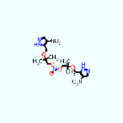 CC(C)(CO[N+](=O)OCC(C)(C)OCc1[nH]ncc1[N+](=O)[O-])OCc1[nH]ncc1[N+](=O)[O-]